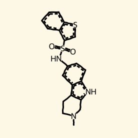 CN1CCc2c([nH]c3ccc(NS(=O)(=O)c4csc5ccccc45)cc23)C1